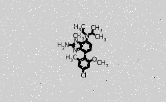 CCN(c1ccc(-c2c(C)cc(Cl)cc2OC)c2nc(N)n(C)c12)C(C)C